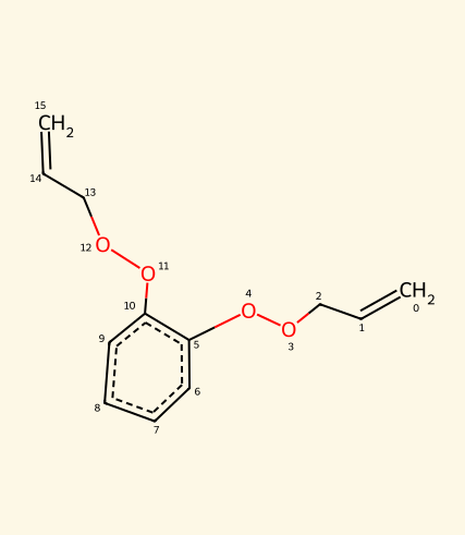 C=CCOOc1ccccc1OOCC=C